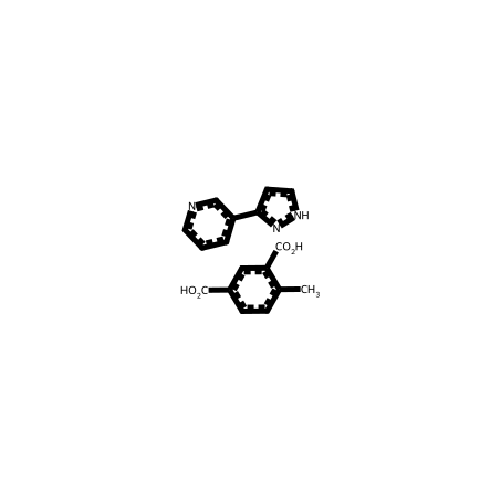 Cc1ccc(C(=O)O)cc1C(=O)O.c1cncc(-c2cc[nH]n2)c1